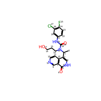 CC(c1c[nH]c(=O)c2cnccc12)N(CCCO)C(=O)Nc1ccc(F)c(Cl)c1